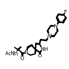 CC(=O)NC(C)(C)C(=O)N1CCC2(CC1)CC(CCN1CCN(c3ccc(F)cc3)CC1)NC2=O